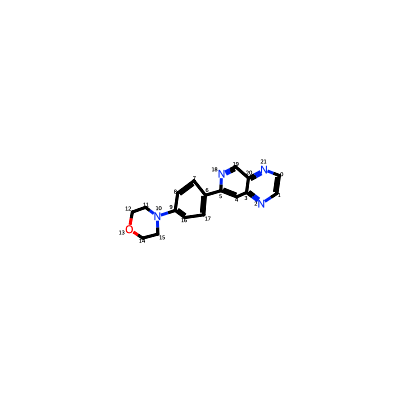 c1cnc2cc(-c3ccc(N4CCOCC4)cc3)ncc2n1